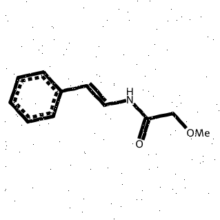 COCC(=O)NC=Cc1ccccc1